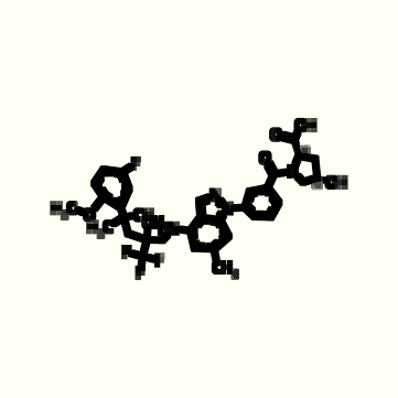 COc1ccc(F)cc1C(C)(C)CC(O)(CNc1cc(C)cc2c1cnn2-c1cccc(C(=O)N2C[C@@H](O)C[C@@H]2C(=O)O)c1)C(F)(F)F